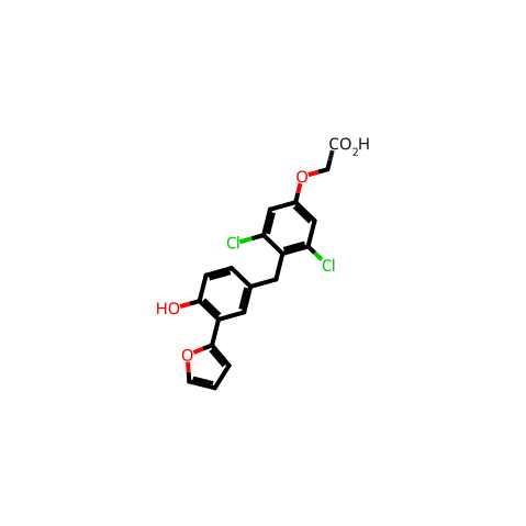 O=C(O)COc1cc(Cl)c(Cc2ccc(O)c(-c3ccco3)c2)c(Cl)c1